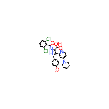 COc1ccc(C[C@@H](c2cc(N3CC=CCC3)ccn2)[C@H](NC(=O)c2c(Cl)cccc2Cl)C(=O)O)cc1